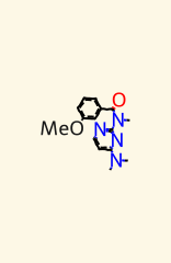 COc1cccc(C(=O)N(C)c2nccc(N(C)C)n2)c1